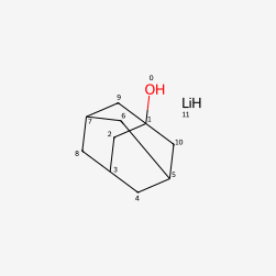 OC12CC3CC(CC(C3)C1)C2.[LiH]